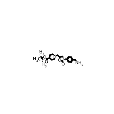 CC(C)(C)OC(=O)C1CCN(CC2CN(c3ccc(CN)cc3)C(=O)O2)CC1